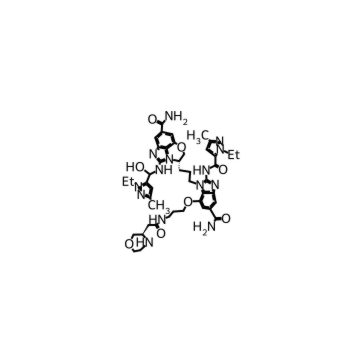 CCn1nc(C)cc1C(=O)Nc1nc2cc(C(N)=O)cc(OCCCNC(=O)C[C@@H]3COCCN3)c2n1CCC[C@H]1COc2cc(C(N)=O)cc3nc(NC(O)c4cc(C)nn4CC)n1c23